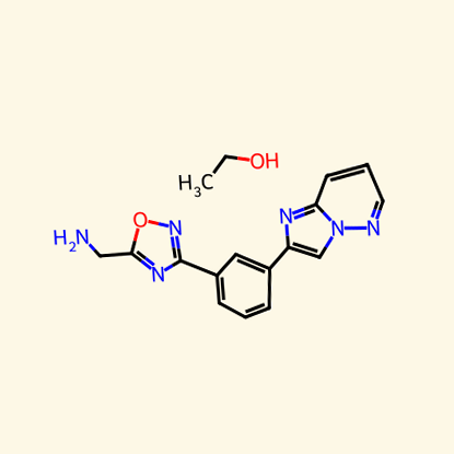 CCO.NCc1nc(-c2cccc(-c3cn4ncccc4n3)c2)no1